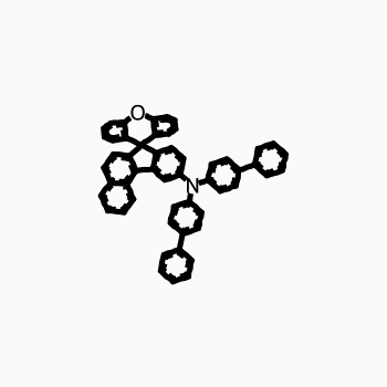 c1ccc(-c2ccc(N(c3ccc(-c4ccccc4)cc3)c3ccc4c(c3)-c3c(ccc5ccccc35)C43c4ccccc4Oc4ccccc43)cc2)cc1